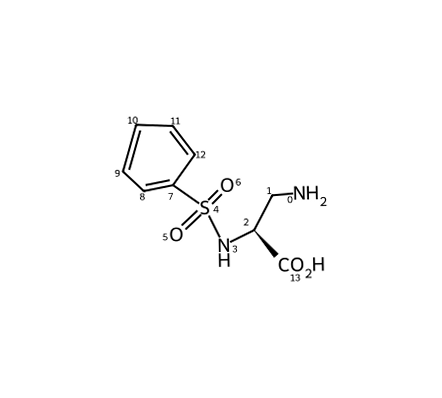 NC[C@H](NS(=O)(=O)c1ccccc1)C(=O)O